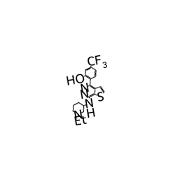 CCN1CCC[C@@H](Nc2nnc(-c3ccc(C(F)(F)F)cc3O)c3ccsc23)C1